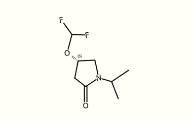 CC(C)N1C[C@@H](OC(F)F)CC1=O